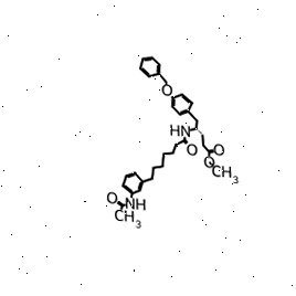 COC(=O)CC[C@@H](Cc1ccc(OCc2ccccc2)cc1)NC(=O)CCCCCCc1cccc(NC(C)=O)c1